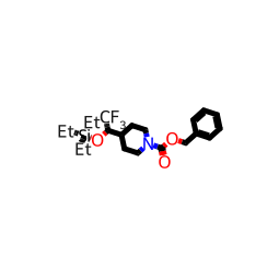 CC[Si](CC)(CC)OC(C1CCN(C(=O)OCc2ccccc2)CC1)C(F)(F)F